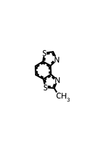 Cc1nc2c(ccc3scnc32)s1